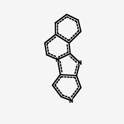 c1ccc2c(c1)ccn1c3ccncc3nc21